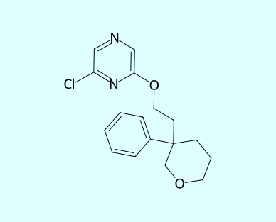 Clc1cncc(OCCC2(c3ccccc3)CCCOC2)n1